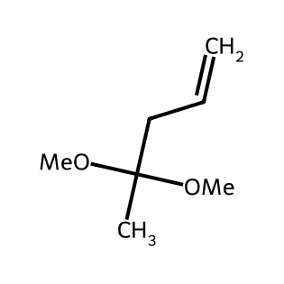 C=CCC(C)(OC)OC